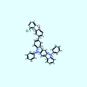 Brc1cccc2oc3ccc(-c4ccc5c(c4)c4cc6c(cc4n5-c4ccccc4)c4ccccc4n6-c4ccccc4)cc3c12